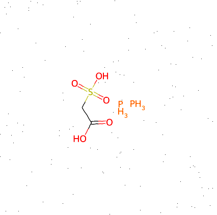 O=C(O)CS(=O)(=O)O.P.P